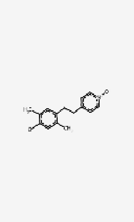 Cc1cc([CH]Cc2cc[n+]([O-])cc2)c(C)cc1Cl